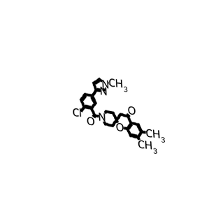 Cc1cc2c(cc1C)C(=O)CC1(CCN(C(=O)c3cc(-c4ccn(C)n4)ccc3Cl)CC1)O2